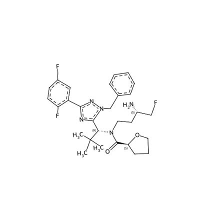 CC(C)(C)[C@H](c1nc(-c2cc(F)ccc2F)nn1Cc1ccccc1)N(CC[C@H](N)CF)C(=O)[C@@H]1CCCO1